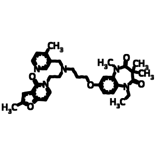 CCN1C(=O)C(C)(C)C(=O)N(C)c2cc(OCCCN(CCn3ccc4oc(C)cc4c3=O)Cc3cnccc3C)ccc21